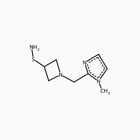 Cn1ccnc1CN1CC(SN)C1